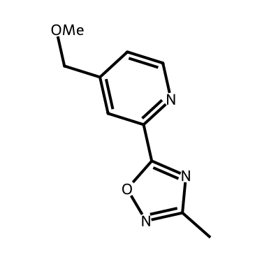 COCc1ccnc(-c2nc(C)no2)c1